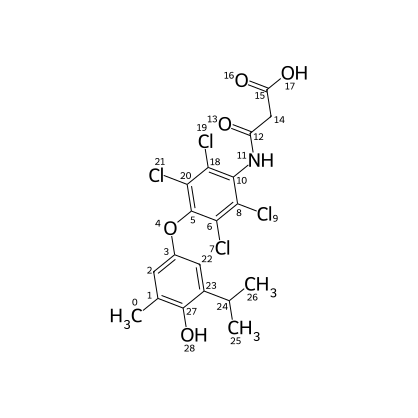 Cc1cc(Oc2c(Cl)c(Cl)c(NC(=O)CC(=O)O)c(Cl)c2Cl)cc(C(C)C)c1O